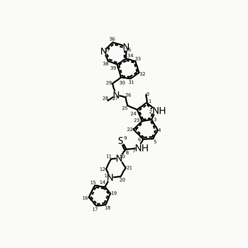 Cc1[nH]c2ccc(NC(=S)N3CCN(c4ccccc4)CC3)cc2c1CCN(C)Cc1cccc2ncncc12